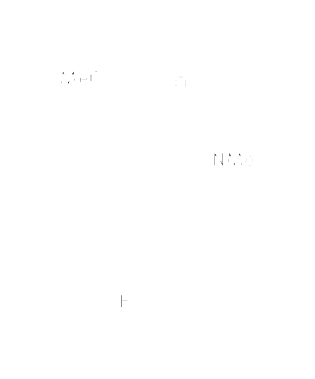 CNc1cc(F)ccc1C(=O)OC